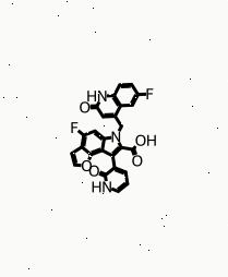 O=C(O)c1c(-c2ccc[nH]c2=O)c2c3occc3c(F)cc2n1Cc1cc(=O)[nH]c2ccc(F)cc12